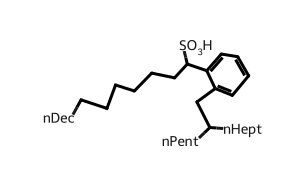 CCCCCCCCCCCCCCCCC(c1ccccc1CC(CCCCC)CCCCCCC)S(=O)(=O)O